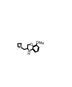 COc1cccc2c1OCC(CN1CCC1)N2